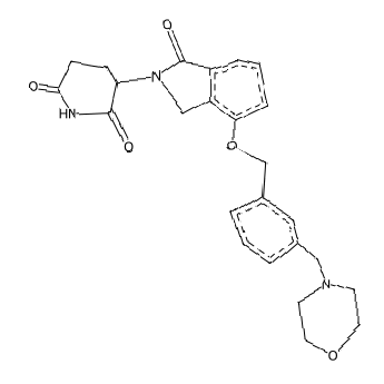 O=C1CCC(N2Cc3c(OCc4cccc(CN5CCOCC5)c4)cccc3C2=O)C(=O)N1